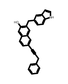 Oc1cc2ccc(C#CCc3ccccc3)cc2cc1Cc1ccc2[nH]ccc2c1